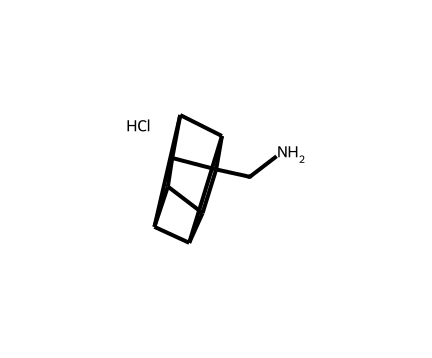 Cl.NCC12C3C4C5C3C1C5C42